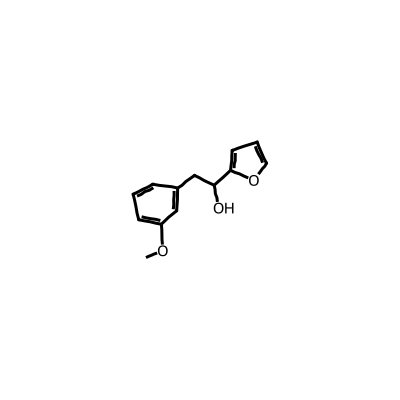 COc1cccc(CC(O)c2ccco2)c1